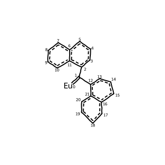 [Eu]=[C](c1cccc2ccccc12)c1cccc2ccccc12